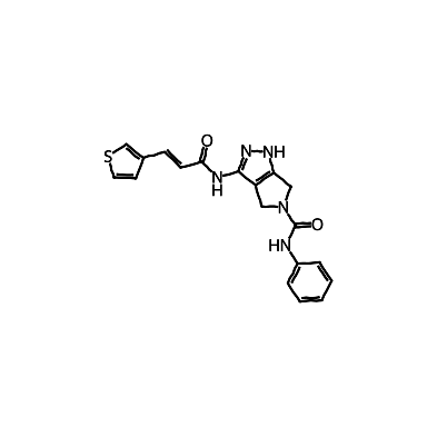 O=C(C=Cc1ccsc1)Nc1n[nH]c2c1CN(C(=O)Nc1ccccc1)C2